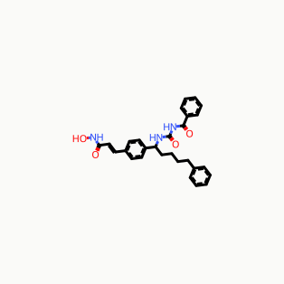 O=C(C=Cc1ccc(C(CCCCc2ccccc2)NC(=O)NC(=O)c2ccccc2)cc1)NO